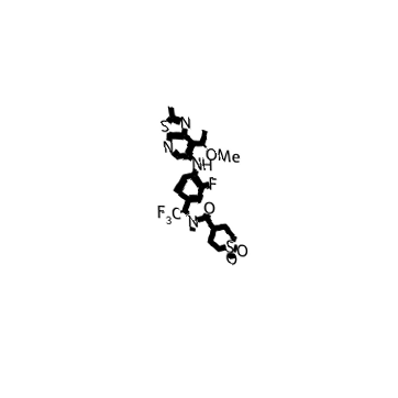 CO[C@@H](C)c1c(Nc2ccc([C@H](N(C)C(=O)C3CCS(=O)(=O)CC3)C(F)(F)F)cc2F)cnc2sc(C)nc12